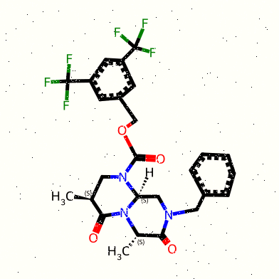 C[C@H]1CN(C(=O)OCc2cc(C(F)(F)F)cc(C(F)(F)F)c2)[C@H]2CN(Cc3ccccc3)C(=O)[C@H](C)N2C1=O